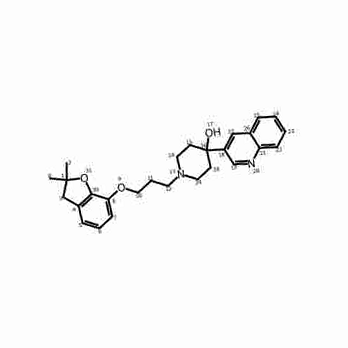 CC1(C)Cc2cccc(OCCCN3CCC(O)(c4cnc5ccccc5c4)CC3)c2O1